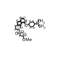 COC(=O)CS(=O)(=O)N1CCc2sc3ncnc(O[C@H]4CC[C@H](N(C)C)CC4)c3c2C1